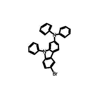 Brc1ccc2c(c1)c1ccc(N(c3ccccc3)c3ccccc3)cc1n2-c1ccccc1